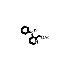 CC(=O)OCc1ncccc1[S+]([O-])c1ccccc1